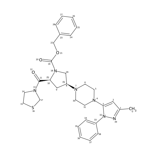 Cc1cc(N2CCN([C@H]3C[C@@H](C(=O)N4CCSC4)N(C(=O)OCc4ccccc4)C3)CC2)n(-c2ccccc2)n1